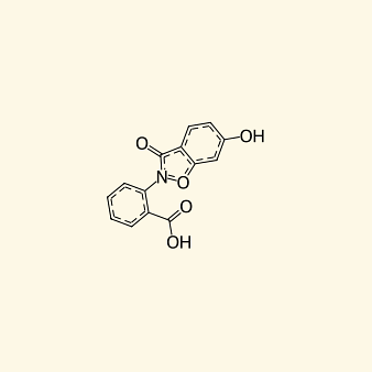 O=C(O)c1ccccc1-n1oc2cc(O)ccc2c1=O